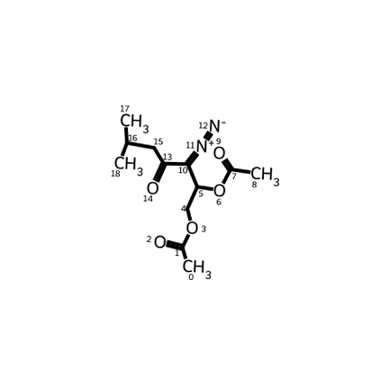 CC(=O)OCC(OC(C)=O)C(=[N+]=[N-])C(=O)CC(C)C